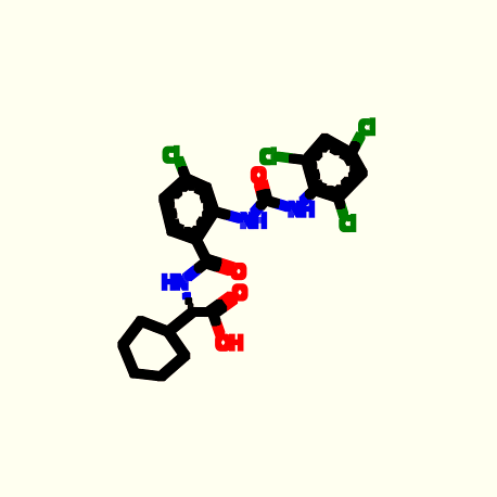 O=C(Nc1cc(Cl)ccc1C(=O)N[C@H](C(=O)O)C1CCCCC1)Nc1c(Cl)cc(Cl)cc1Cl